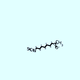 C[S+]([O-])CCCCCCCN=C=S